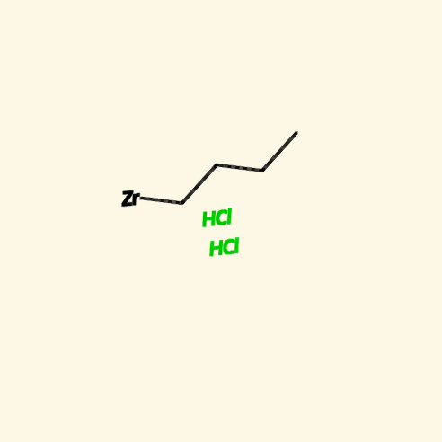 CCC[CH2][Zr].Cl.Cl